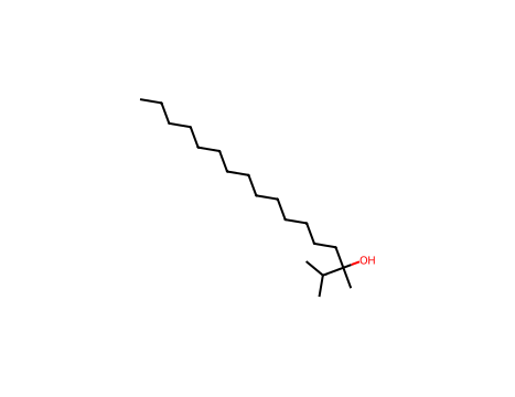 CCCCCCCCCCCCCCC(C)(O)[C](C)C